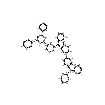 c1ccc(-c2cc(-c3ccccc3)nc(-c3cccc(-n4c5cc(-c6ccc7c(c6)c6ccccc6n7-c6ccccc6)ccc5c5ncccc54)c3)n2)cc1